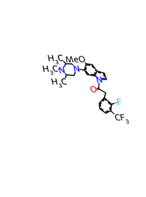 COc1cc2ccn(C(=O)Cc3cccc(C(F)(F)F)c3F)c2cc1N1CC(C)N(C)C(C)C1